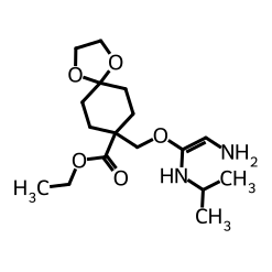 CCOC(=O)C1(CO/C(=C/N)NC(C)C)CCC2(CC1)OCCO2